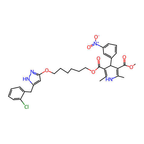 COC(=O)C1=C(C)NC(C)=C(C(=O)OCCCCCCOc2cc(Cc3ccccc3Cl)[nH]n2)C1c1cccc([N+](=O)[O-])c1